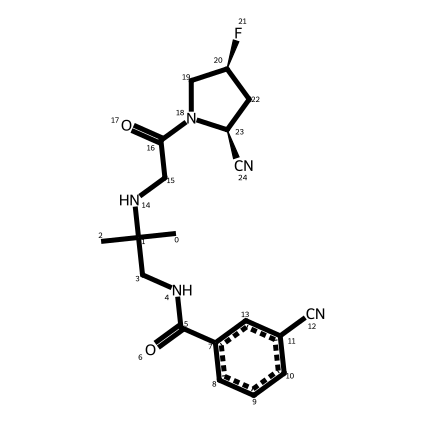 CC(C)(CNC(=O)c1cccc(C#N)c1)NCC(=O)N1C[C@@H](F)C[C@H]1C#N